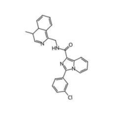 CC1C=NC(CNC(=O)c2nc(-c3cccc(Cl)c3)n3ccccc23)=C2C=CC=CC21